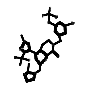 Cc1nccn1Cc1cc2c(c(-c3cn(C)nc3C(F)(F)F)c1)CCN(Cc1cc(Br)cc(OC(F)(F)F)c1)C2=O